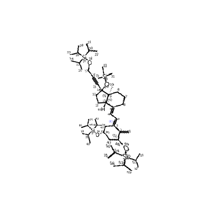 C=C1/C(=C/C=C2CCC[C@@]3(C)[C@H]2CC[C@]3(C#CCO[Si](C(C)C)(C(C)C)C(C)C)O[Si](C)(C)C)C[C@@H](O[Si](C(C)C)(C(C)C)C(C)C)C[C@@H]1O[Si](C(C)C)(C(C)C)C(C)C